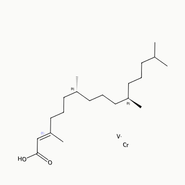 C/C(=C\C(=O)O)CCC[C@H](C)CCC[C@H](C)CCCC(C)C.[Cr].[V]